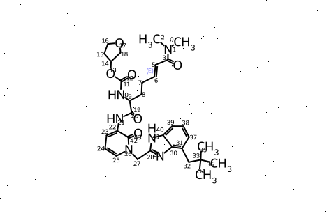 CN(C)C(=O)/C=C/CCC(NC(=O)OC1CCOC1)C(=O)Nc1cccn(Cc2nc3c(CC(C)(C)C)cccc3[nH]2)c1=O